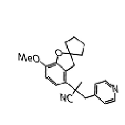 COc1ccc(C(C)(C#N)Cc2ccncc2)c2c1OC1(CCCC1)C2